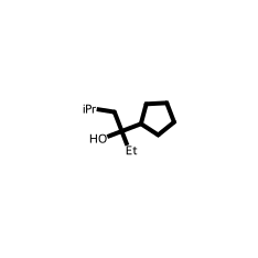 CCC(O)(CC(C)C)C1CCCC1